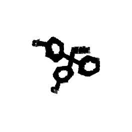 CC(=O)NC(c1ccc(Cl)cc1)(c1ccc(Cl)cc1)c1cccnc1